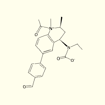 CCN(C(=O)[O-])[C@@H]1C[C@H](C)[N+](C)(C(C)=O)c2ccc(-c3ccc(C=O)cc3)cc21